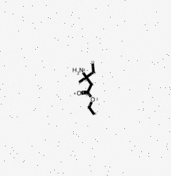 CCOC(=O)CC(C)(N)CC